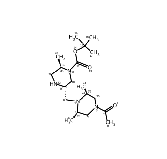 CC(=O)N1C[C@@H](C)N(C[C@H]2CN(C(=O)OC(C)(C)C)[C@H](C)CN2)[C@@H](C)C1